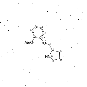 COc1ccccc1OCC1CCCN1